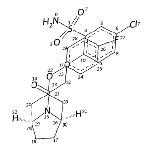 NS(=O)(=O)c1cc(Cl)ccc1OCC(=O)N1[C@@H]2CC[C@H]1CC(Oc1ccc(F)cc1)C2